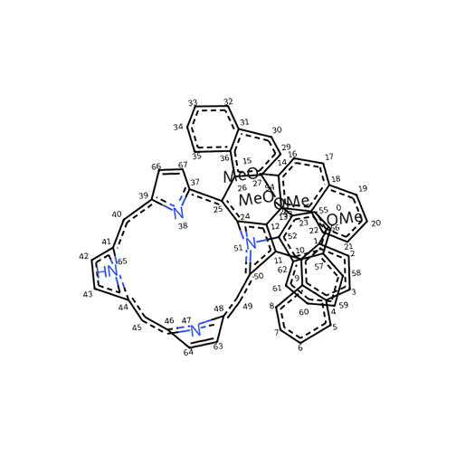 COc1ccc2ccccc2c1-c1c(-c2c(OC)ccc3ccccc23)c2c(-c3c(OC)ccc4ccccc34)c3nc(cc4ccc(cc5nc(cc1n2-c1c(OC)ccc2ccccc12)C=C5)[nH]4)C=C3